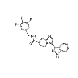 O=C(NCc1cc(F)c(F)c(F)c1)c1ccc2c(c1)ncn2-c1n[nH]c2ccccc12